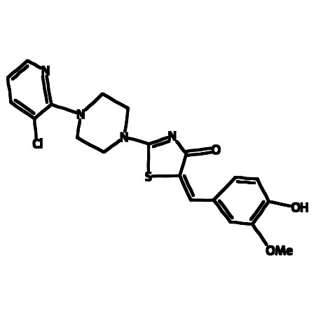 COc1cc(C=C2SC(N3CCN(c4ncccc4Cl)CC3)=NC2=O)ccc1O